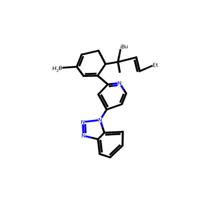 BC1=CCC(C(C)(C=CCC)C(C)CC)C(c2cc(-n3nnc4ccccc43)ccn2)=C1